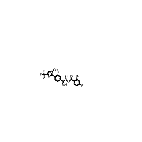 Cn1cc(C(F)(F)F)nc1-c1ccc(C(=N)NOC(=O)c2ccc(F)cc2Br)cc1